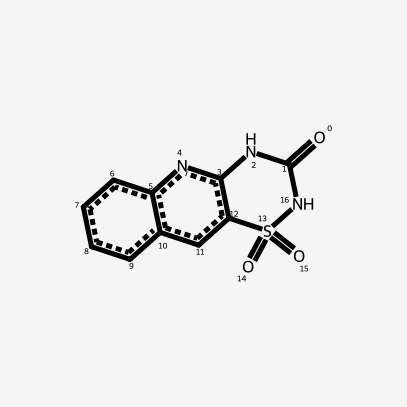 O=C1Nc2nc3c[c]ccc3cc2S(=O)(=O)N1